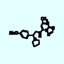 COc1ccc(C(CNc2cc(C)nc3ncnn23)N2CCCC2)cc1